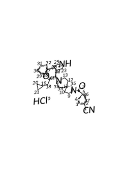 Cl.N#Cc1ccc(C(=O)N2CCC3(CCN(C(C(=O)CC4CC4)[C@@H]4CNC[C@@H]4c4ccccc4)CC3)C2)cc1